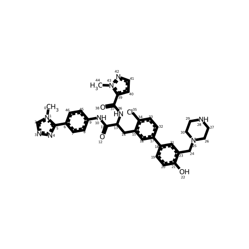 Cn1cnnc1-c1ccc(NC(=O)C(Cc2cc(-c3ccc(O)c(CN4CCNCC4)c3)ccc2Cl)NC(=O)c2ccnn2C)cc1